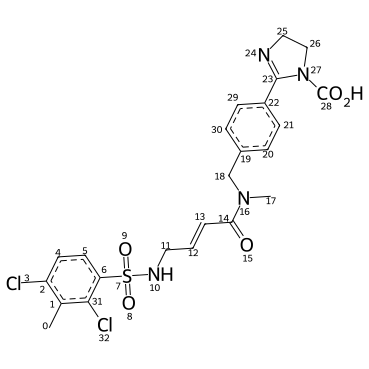 Cc1c(Cl)ccc(S(=O)(=O)NC/C=C/C(=O)N(C)Cc2ccc(C3=NCCN3C(=O)O)cc2)c1Cl